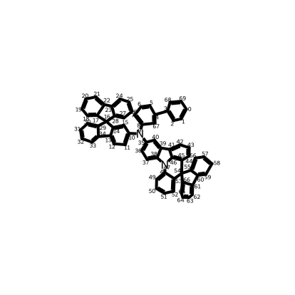 c1ccc(-c2cccc(N(c3ccc4c(c3)C3(c5ccccc5-c5ccccc53)c3ccccc3-4)c3ccc4c(c3)c3cccc5c3n4-c3ccccc3C53c4ccccc4-c4ccccc43)c2)cc1